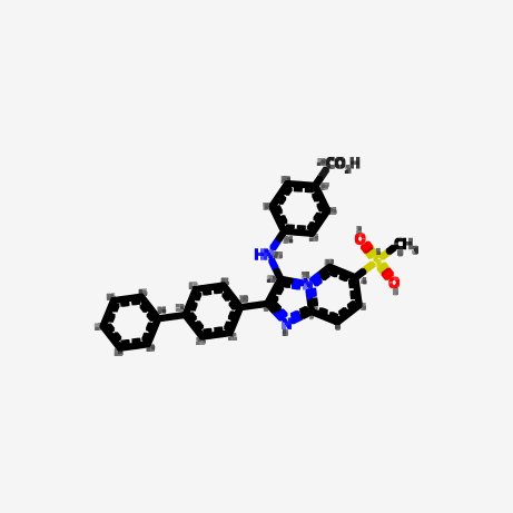 CS(=O)(=O)c1ccc2nc(-c3ccc(-c4ccccc4)cc3)c(Nc3ccc(C(=O)O)cc3)n2c1